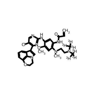 [2H]C([2H])([2H])N(CCN(C)c1cc(OC)c(Nc2ncc(Cl)c(-c3cn4c5c(cccc35)OCC4)n2)cc1NC(=O)C=C)C([2H])([2H])[2H]